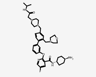 CC(C)NC(=O)CN1CCN(Cc2ccc(-c3cccc(Oc4ncc(F)cc4C(=O)N[C@H]4CC[C@H](N)CC4)c3)c(CN3CCOCC3)c2)CC1